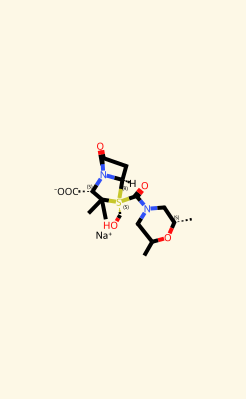 CC1CN(C(=O)[S@]2(CO)[C@@H]3CC(=O)N3[C@@H](C(=O)[O-])C2(C)C)C[C@H](C)O1.[Na+]